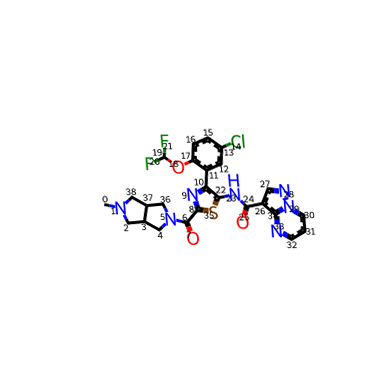 CN1CC2CN(C(=O)c3nc(-c4cc(Cl)ccc4OC(F)F)c(NC(=O)c4cnn5cccnc45)s3)CC2C1